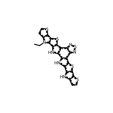 CCn1c2ccsc2c2sc3c([nH]c4c5[nH]c6c7[nH]c8ccsc8c7sc6c5c5nsnc5c43)c21